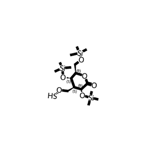 C[Si](C)(C)OC[C@H]1OC(=O)[C@H](O[Si](C)(C)C)[C@@H](COS)[C@@H]1O[Si](C)(C)C